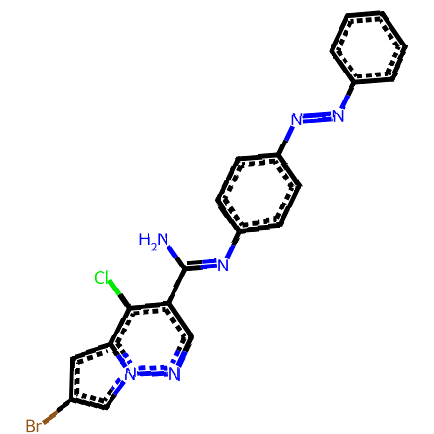 N/C(=N\c1ccc(/N=N/c2ccccc2)cc1)c1cnn2cc(Br)cc2c1Cl